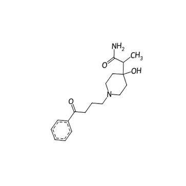 CC(C(N)=O)C1(O)CCN(CCCC(=O)c2ccccc2)CC1